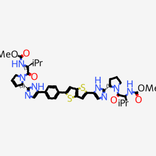 COC(=O)NC(C(=O)N1CCC[C@H]1c1ncc(-c2cc3sc(-c4ccc(-c5cnc([C@@H]6C=CCN6C(=O)[C@@H](NC(=O)OC)C(C)C)[nH]5)cc4)cc3s2)[nH]1)C(C)C